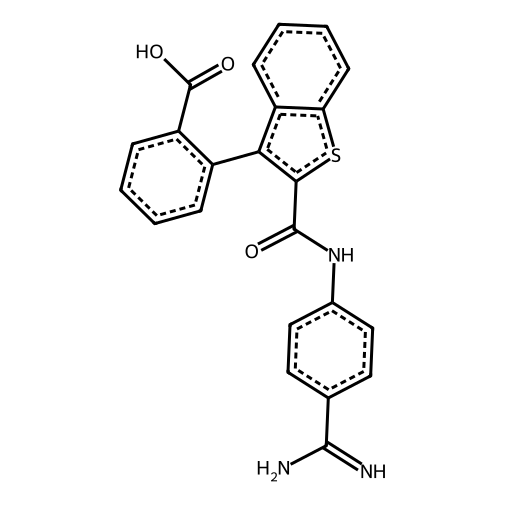 N=C(N)c1ccc(NC(=O)c2sc3ccccc3c2-c2ccccc2C(=O)O)cc1